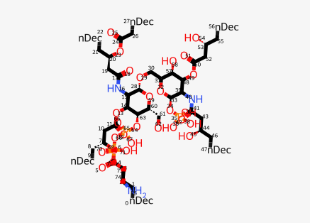 CCCCCCCCCCCCCC(=O)O[C@H](CCCCCCCCCCC)CC(=O)OC1C(NC(=O)C[C@@H](CCCCCCCCCCC)OC(=O)CCCCCCCCCCC)[C@H](OCC2O[C@H](OP(=O)(O)O)C(NC(=O)C[C@H](O)CCCCCCCCCCC)C(OC(=O)C[C@H](O)CCCCCCCCCCC)[C@@H]2O)O[C@H](CO)[C@H]1OP(=O)(O)OP(=O)(O)OCCN